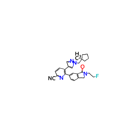 CC1(Cn2cc(-c3ccc(C#N)nc3-c3ccc4c(c3)C(=O)N(CCF)C4)cn2)CCCC1